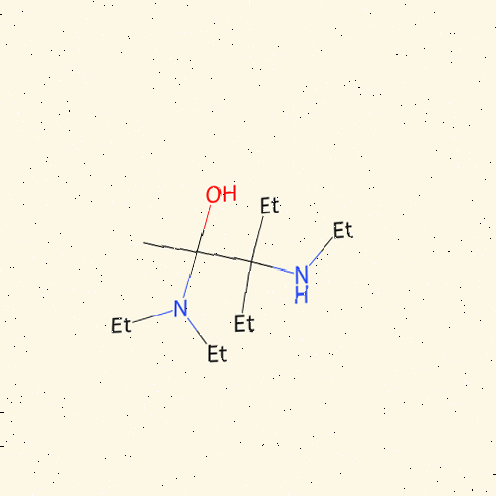 [CH2]CNC(CC)(CC)C(C)(O)N(CC)CC